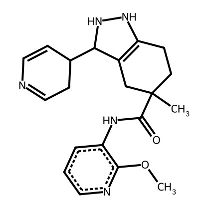 COc1ncccc1NC(=O)C1(C)CCC2=C(C1)C(C1C=CN=CC1)NN2